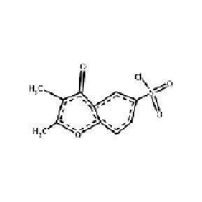 Cc1oc2ccc(S(=O)(=O)Cl)cc2c(=O)c1C